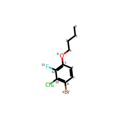 CCCCOc1ccc(Br)c(Cl)c1F